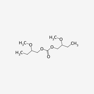 CCC(COC(=O)OCC(CC)OC)OC